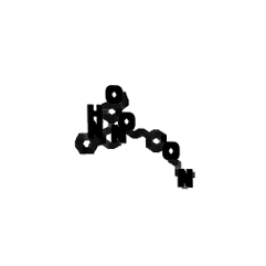 CN(C)CCCOc1ccc(/C=C/C(=O)N2CCc3c([nH]c4ccccc34)[C@H]2c2ccc3c(c2)CCO3)cc1